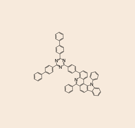 c1ccc(-c2ccc(-c3nc(-c4ccc(-c5ccccc5)cc4)nc(-c4ccc(-c5cccc6c5nc(-c5ccccc5)c5ccc7c8ccccc8n(-c8ccccc8)c7c56)cc4)n3)cc2)cc1